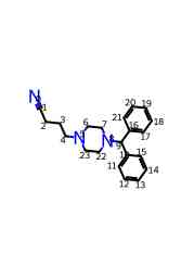 N#CCCCN1CCN(C(c2ccccc2)c2ccccc2)CC1